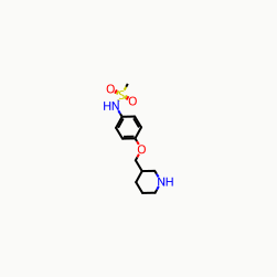 CS(=O)(=O)Nc1ccc(OCC2CCCNC2)cc1